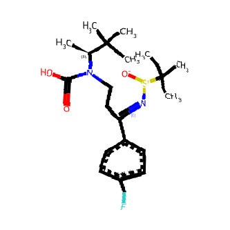 C[C@H](N(CC/C(=N\[S+]([O-])C(C)(C)C)c1ccc(F)cc1)C(=O)O)C(C)(C)C